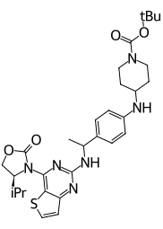 CC(Nc1nc(N2C(=O)OC[C@@H]2C(C)C)c2sccc2n1)c1ccc(NC2CCN(C(=O)OC(C)(C)C)CC2)cc1